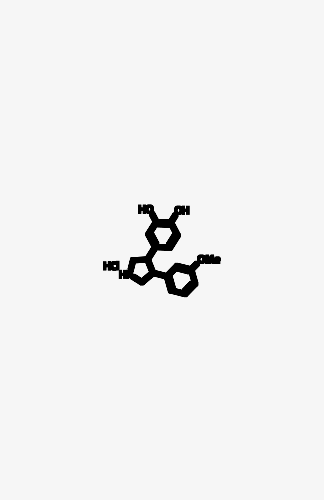 COc1cccc(C2CNCC2c2ccc(O)c(O)c2)c1.Cl